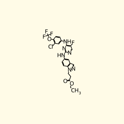 CCOC(=O)CCn1ncc2cc(Nc3ncc(F)c(Nc4ccc(OC(F)(F)F)c(Cl)c4)n3)ccc21